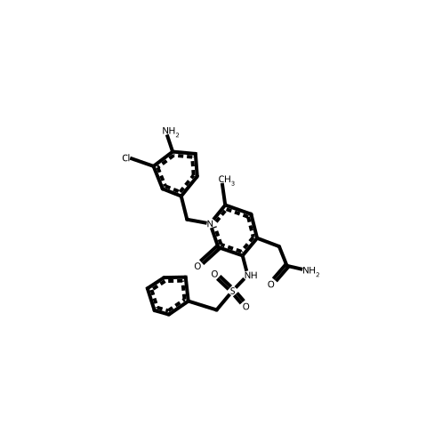 Cc1cc(CC(N)=O)c(NS(=O)(=O)Cc2ccccc2)c(=O)n1Cc1ccc(N)c(Cl)c1